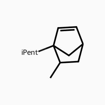 CCCC(C)C12C=CC(CC1C)C2